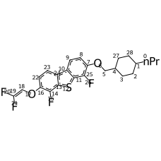 CCCC1CCC(COc2ccc3c(sc4c(F)c(OC=C(F)F)ccc43)c2F)CC1